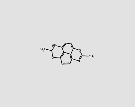 CC1=Nc2ccc3c4c(ccc(c24)O1)NC(C)O3